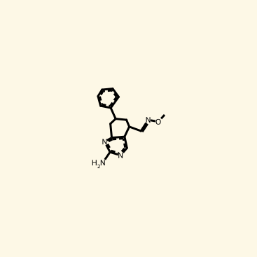 CON=CC1CC(c2ccccc2)Cc2nc(N)ncc21